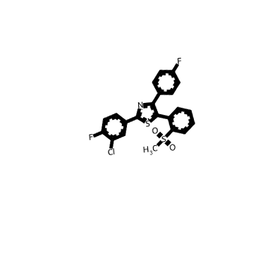 CS(=O)(=O)c1ccccc1-c1sc(-c2ccc(F)c(Cl)c2)nc1-c1ccc(F)cc1